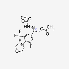 COC(=O)N/N=C(/COC(C)=O)c1cc(F)c(N2CCOCC2)c(C(F)(F)F)c1